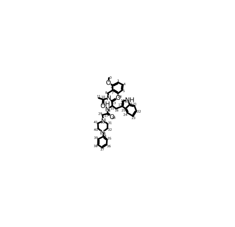 COc1ccccc1CN(C(C)=O)C(=O)C(Cc1c[nH]c2ccccc12)NC(=O)CN1CCN(c2ccccc2)CC1